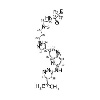 CC(C)c1cnnc(Nc2ccc3ncc(-c4cnn(CCCN5CC(NC(=O)C(F)(F)F)C5)c4)cc3n2)c1